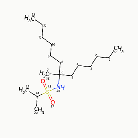 CCCCCCC(C)(CCCCCC)NS(=O)(=O)C(C)C